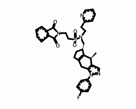 C[C@@H]1C2=C(CC[C@@H]2CN(CCc2ccccn2)S(=O)(=O)CCN2C(=O)c3ccccc3C2=O)Cc2c1cnn2-c1ccc(F)cc1